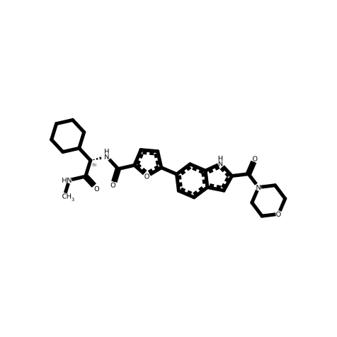 CNC(=O)[C@@H](NC(=O)c1ccc(-c2ccc3cc(C(=O)N4CCOCC4)[nH]c3c2)o1)C1CCCCC1